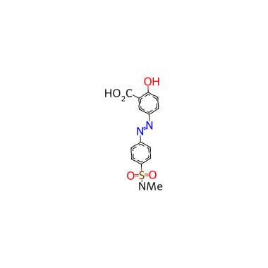 CNS(=O)(=O)c1ccc(/N=N/c2ccc(O)c(C(=O)O)c2)cc1